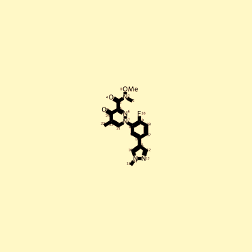 CON(C)C(=O)c1nn(-c2cc(-c3cnn(C)c3)ccc2F)cc(C)c1=O